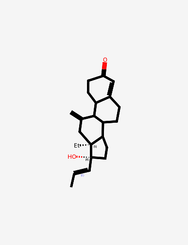 C=C1C[C@@]2(CC)C(CC[C@@]2(O)/C=C/C)C2CCC3=CC(=O)CCC3C12